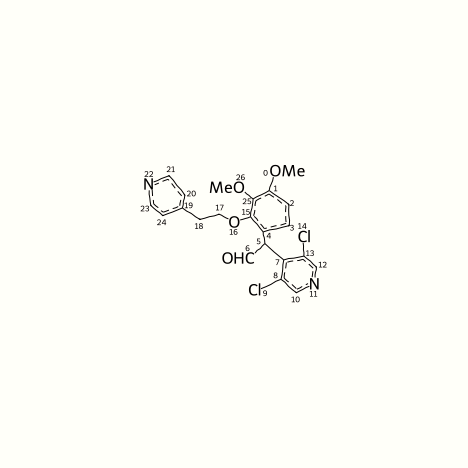 COc1ccc(C(C=O)c2c(Cl)cncc2Cl)c(OCCc2ccncc2)c1OC